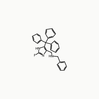 Fc1nc(CNCc2ccccc2)c(C(c2ccccc2)(c2ccccc2)c2ccccc2)[nH]1